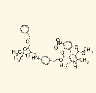 COC(=O)C1=C(C)NC(C)=C(C(=O)OCCc2ccc(NCC3OC(C)(C)OC3COCc3ccccc3)cc2)C1c1cccc([N+](=O)[O-])c1